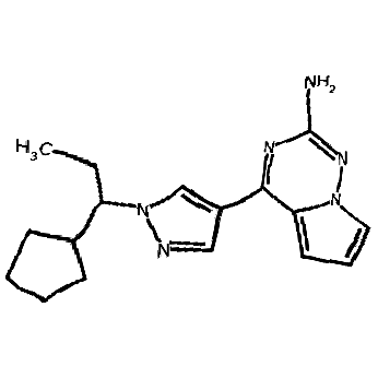 CCC(C1CCCC1)n1cc(-c2nc(N)nn3cccc23)cn1